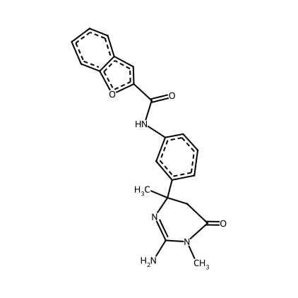 CN1C(=O)CC(C)(c2cccc(NC(=O)c3cc4ccccc4o3)c2)N=C1N